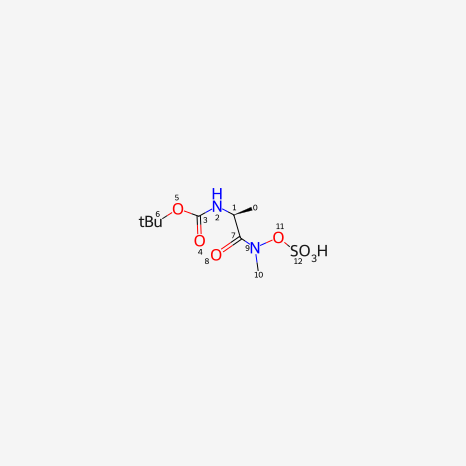 C[C@H](NC(=O)OC(C)(C)C)C(=O)N(C)OS(=O)(=O)O